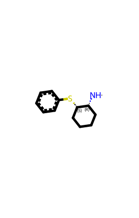 [NH][C@@H]1CCCC[C@@H]1Sc1ccccc1